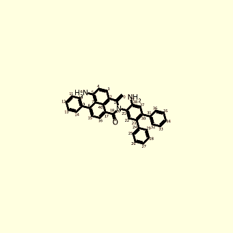 C=c1c2ccc(N)c3c(-c4ccccc4)ccc(c(=O)n1-c1cc(-c4ccccc4)c(-c4ccccc4)cc1N)c32